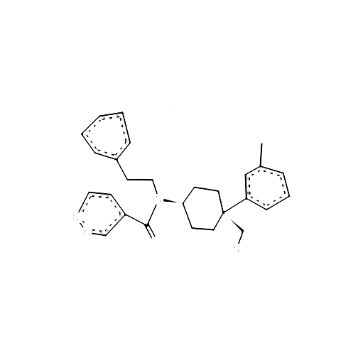 Cl.NC[C@]1(c2cccc(Cl)c2)CC[C@H](N(CCc2ccccc2)C(=O)c2ccnnc2)CC1